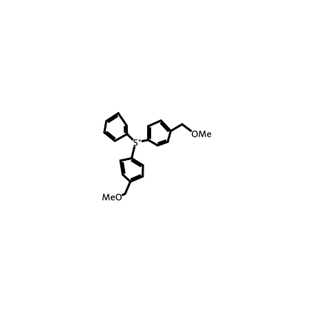 COCc1ccc([S+](c2ccccc2)c2ccc(COC)cc2)cc1